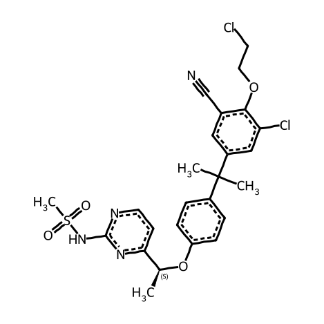 C[C@H](Oc1ccc(C(C)(C)c2cc(Cl)c(OCCCl)c(C#N)c2)cc1)c1ccnc(NS(C)(=O)=O)n1